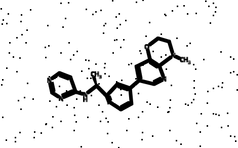 C[C@H](Nc1ccncn1)c1cccc(-c2cnc3c(c2)OCCN3C)c1